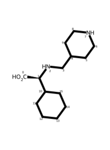 O=C(O)[C@@H](NCC1CCNCC1)C1CCCCC1